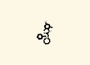 Cc1cc(Cl)cc(C)c1NC(=O)C[N+]1(Cc2ccccc2)CCCCCC1